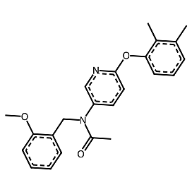 COc1ccccc1CN(C(C)=O)c1ccc(Oc2cccc(C)c2C)nc1